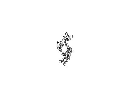 O=c1[nH]cnc2c1ncn2C1OC2COP(=O)(S)OC3C(O)C(COP(=O)(S)OC2C1O)OC3n1c(Cl)nc2cc(Cl)c(Cl)cc21